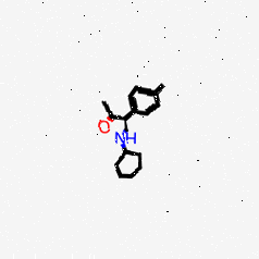 CC(=O)[C@H](CNC1CCCCC1)c1ccc(C)cc1